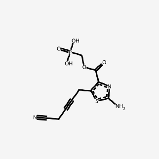 N#CCC#CCc1sc(N)nc1C(=O)OCP(=O)(O)O